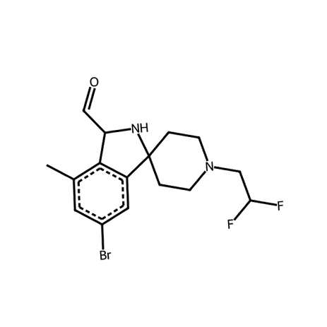 Cc1cc(Br)cc2c1C(C=O)NC21CCN(CC(F)F)CC1